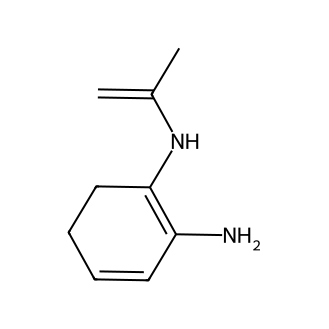 C=C(C)NC1=C(N)C=CCC1